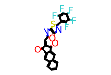 O=C1C(=Cc2nc3sc(-c4c(F)c(F)c(F)c(F)c4F)nc3o2)C(=O)c2cc3ccccc3cc21